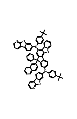 CC(C)(C)c1ccc(N(c2ccc3c(c2)C(c2ccccc2)(c2ccc4ccccc4c2)c2cc(N(c4ccc(C(C)(C)C)cc4)c4ccc5c(c4)oc4ncccc45)c4c(oc5ccccc54)c2-3)c2ccc3c(c2)oc2ncccc23)cc1